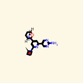 Nc1ncc(-c2cc(N3C[C@@H]4CC[C@H]3CO4)cc(N3CC4CC3C4)n2)cn1